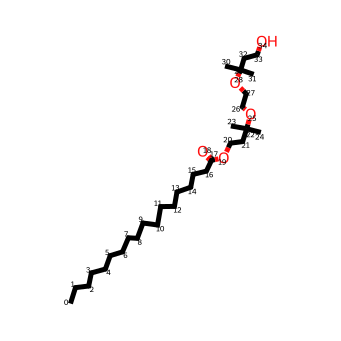 CCCCCCCCCCCCCCCCCC(=O)OCCC(C)(C)OCCOC(C)(C)CCO